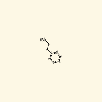 CC(C)(C)CCc1ccccc1